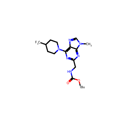 Cn1cnc2c(N3CCC(C(F)(F)F)CC3)nc(CNC(=O)OC(C)(C)C)nc21